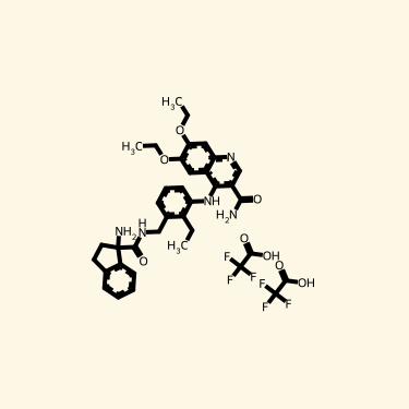 CCOc1cc2ncc(C(N)=O)c(Nc3cccc(CNC(=O)C4(N)CCc5ccccc54)c3CC)c2cc1OCC.O=C(O)C(F)(F)F.O=C(O)C(F)(F)F